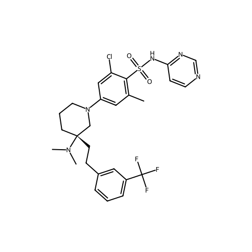 Cc1cc(N2CCC[C@@](CCc3cccc(C(F)(F)F)c3)(N(C)C)C2)cc(Cl)c1S(=O)(=O)Nc1ccncn1